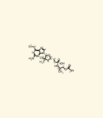 CCOc1nc(N)nc2c1ncn2[C@@H]1O[C@H](CO[P@](=O)(O)N[C@H](C)COC(=O)C(C)C)C[C@@]1(C)Cl